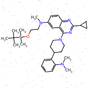 CN(C)c1ccccc1C1CCN(c2nc(C3CC3)nc3ccc(N(C)CCO[Si](C)(C)C(C)(C)C)cc23)CC1